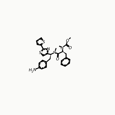 COC(=O)N(C)[C@@H](Cc1ccccc1)C(=O)N(C)[C@@H](Cc1ccc(N)cc1)c1csc(-c2cccs2)n1